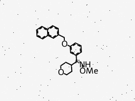 CON[C@@H](c1cccc(OCc2ccc3ccccc3c2)c1)C1CCOCC1